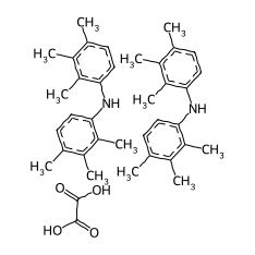 Cc1ccc(Nc2ccc(C)c(C)c2C)c(C)c1C.Cc1ccc(Nc2ccc(C)c(C)c2C)c(C)c1C.O=C(O)C(=O)O